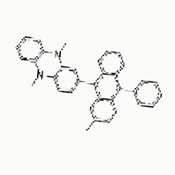 Cc1ccc2c(-c3ccccc3)c3ccccc3c(-c3ccc4c(c3)N(C)c3ccccc3N4C)c2c1